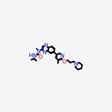 Cc1cc(-c2ccc3ncc(N(C)C(=O)NC(C)C)nc3c2)cnc1OCCCN1CCCCC1